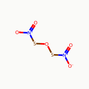 O=[N+]([O-])SOS[N+](=O)[O-]